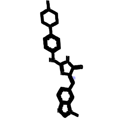 CN1CCN(c2ccc(NC3=N/C(=C\c4ccc5ncn(C)c5c4)C(=O)N3)cc2)CC1